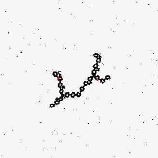 CC1(C)c2cc(-c3ccccc3)ccc2-c2ccc(N(c3ccc(-c4ccc(-c5cccc(-c6ccc(-c7ccc8c(c7)C(C)(C)c7cc(N(c9ccc(-c%10cccc(-c%11ccccc%11)c%10)cc9)c9ccc%10c(c9)C(C)(C)c9cc(-c%11ccc%12sc%13ccccc%13c%12c%11)ccc9-%10)ccc7-8)cc6)c5)cc4)cc3)c3ccc4c(c3)C(C)(C)c3cc(-c5ccc6sc7ccccc7c6c5)ccc3-4)cc21